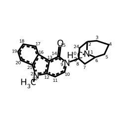 CN1C2CCCC1CC(n1ccc3c(c1=O)c1ccccc1n3C)C2